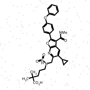 CNC(=O)c1c(-c2ccc(Oc3ccccc3)cc2)oc2nc(CN(CCCC(C)(C)C(=O)O)[SH](=O)=O)c(C3CC3)cc12